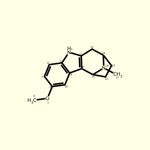 COc1ccc2[nH]c3c(c2c1)C1CCC(C3)N1C